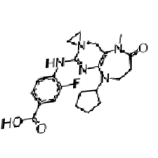 CN1C(=O)CCN(C2CCCC2)C2=C1C[N+]1(CC1)C(Nc1ccc(C(=O)O)cc1F)=N2